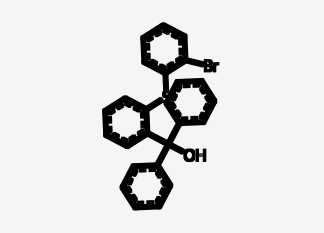 OC(c1ccccc1)(c1ccccc1)c1ccccc1Sc1ccccc1Br